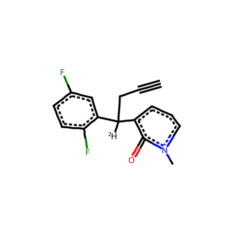 [2H]C(CC#C)(c1cc(F)ccc1F)c1cccn(C)c1=O